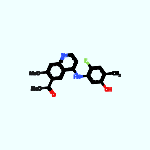 COC(=O)c1cc2c(Nc3cc(O)c(C)cc3F)ccnc2cc1OC